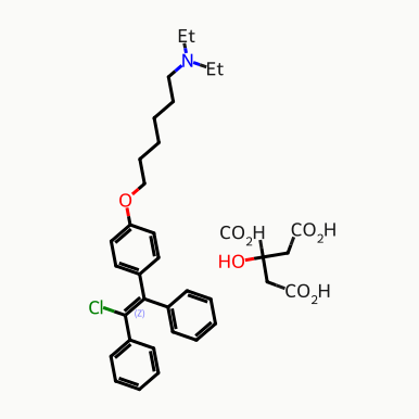 CCN(CC)CCCCCCOc1ccc(/C(=C(\Cl)c2ccccc2)c2ccccc2)cc1.O=C(O)CC(O)(CC(=O)O)C(=O)O